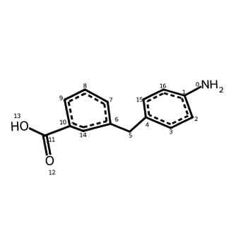 Nc1ccc(Cc2cccc(C(=O)O)c2)cc1